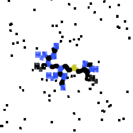 Cc1[nH]cnc1CSCCN(CCN(C)C(N)=NC#N)C(N)=NC#N